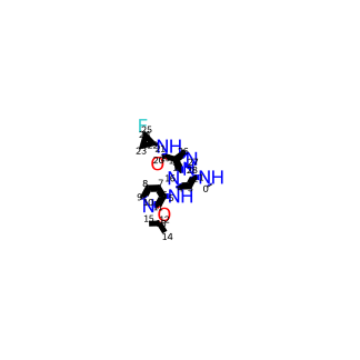 CNc1cc(Nc2cccnc2OC(C)C)nc2c(C(=O)N[C@H]3C[C@H]3F)cnn12